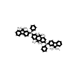 CC1(C)c2ccccc2-c2ccc(N(c3ccccc3)c3ccc4c(c3)C(C)(C)c3ccc(N(c5ccccc5)c5ccc6c(c5)C(C)(C)c5ccccc5-6)cc3C4(C)C)cc21